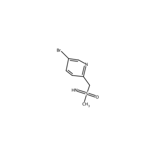 CS(=N)(=O)Cc1ccc(Br)cn1